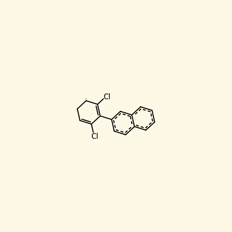 ClC1=CC[CH]C(Cl)=C1c1ccc2ccccc2c1